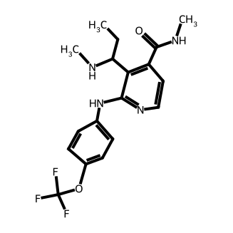 CCC(NC)c1c(C(=O)NC)ccnc1Nc1ccc(OC(F)(F)F)cc1